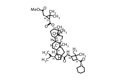 C=C(C)[C@@H]1CC[C@]2(C(=O)N[C@@H]3C[C@H](C(=O)N4CCCCC4)C3(C)C)CC[C@]3(C)[C@H](CC[C@@H]4[C@@]5(C)CC[C@H](OC(=O)[C@H]6[C@@H](CC(=O)OC)C6(C)C)C(C)(C)[C@@H]5CC[C@]43C)[C@@H]12